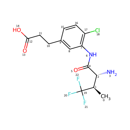 C[C@H]([C@@H](N)C(=O)Nc1cc(CCC(=O)O)ccc1Cl)C(F)(F)F